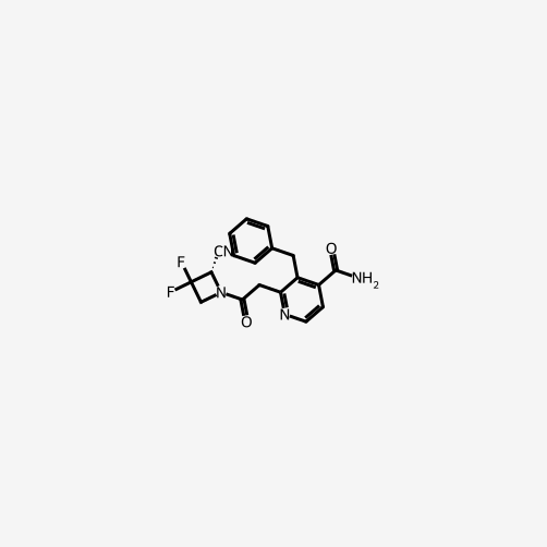 N#C[C@@H]1N(C(=O)Cc2nccc(C(N)=O)c2Cc2ccccc2)CC1(F)F